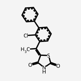 C/C(=C1/SC(=O)NC1=O)c1cccc(-c2ccccc2)c1Cl